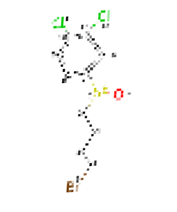 [O-][S+](CCCCBr)c1ccc(Cl)c(Cl)c1